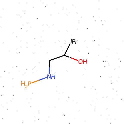 CC(C)C(O)CNP